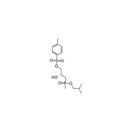 Cc1ccc(S(=O)(=O)OC[C@@H](O)CP(C)(=O)OCC(C)C)cc1